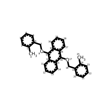 Cc1ccccc1COc1c2ccccc2c(OCc2ccccc2C)c2ccccc12